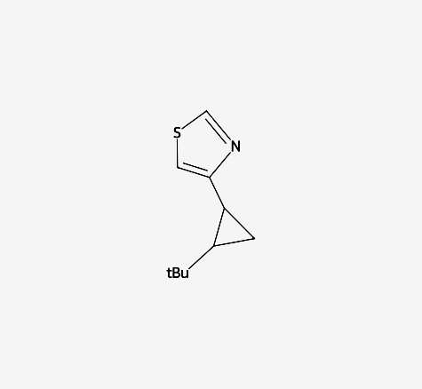 CC(C)(C)C1CC1c1cscn1